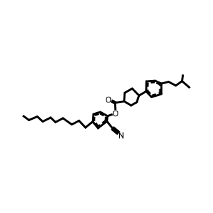 CCCCCCCCCCc1ccc(OC(=O)C2CCC(c3ccc(CCC(C)C)cc3)CC2)c(C#N)c1